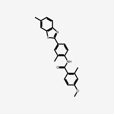 COc1ccc(C(=O)Nc2ccc(-c3nc4ccc(C)cc4s3)cc2C)c(C)c1